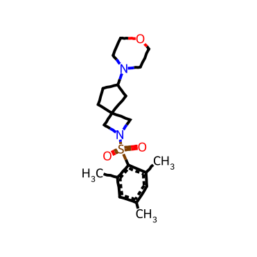 Cc1cc(C)c(S(=O)(=O)N2CC3(CCC(N4CCOCC4)C3)C2)c(C)c1